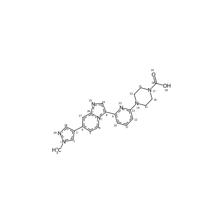 Cn1cc(-c2ccn3c(-c4cccc(N5CCN(C(=O)O)CC5)n4)cnc3c2)cn1